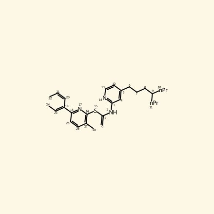 C=C(Nc1cc(CCCC(CCC)CCC)ccn1)Sc1nc(C(/C=C\C)=C/C)ccc1C